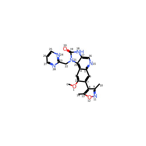 COc1cc2c(cc1-c1c(C)noc1C)ncc1[nH]c(=O)n(Cc3ncccn3)c12